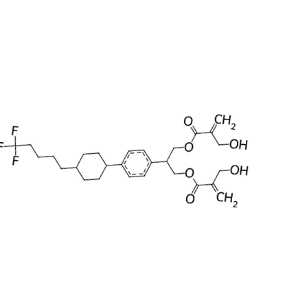 C=C(CO)C(=O)OCC(COC(=O)C(=C)CO)c1ccc(C2CCC(CCCCC(F)(F)F)CC2)cc1